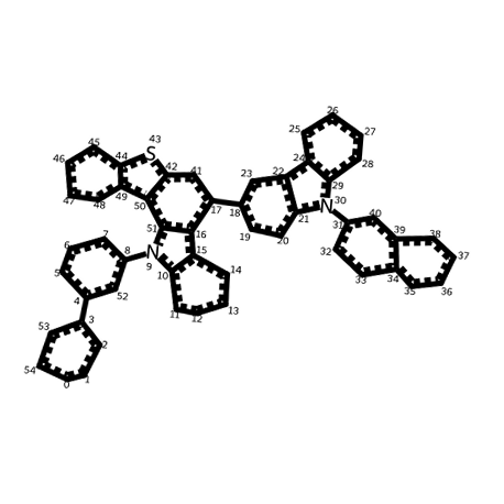 c1ccc(-c2cccc(-n3c4ccccc4c4c(-c5ccc6c(c5)c5ccccc5n6-c5ccc6ccccc6c5)cc5sc6ccccc6c5c43)c2)cc1